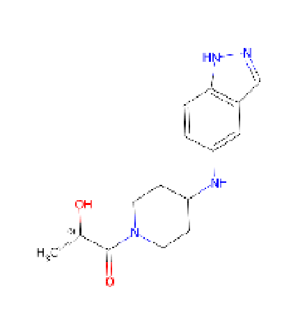 C[C@H](O)C(=O)N1CCC(Nc2ccc3[nH]ncc3c2)CC1